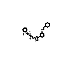 O=C(NCCn1cc(-c2cccc(OCCC3CCCCC3)c2)nn1)Nc1ccccc1